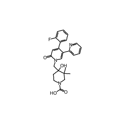 CC1(C)CN(C(=O)O)CCC1(O)Cn1cc(-c2ccccn2)c(-c2ccccc2F)cc1=O